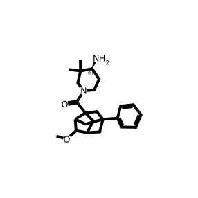 COC1C2CC3(c4ccccc4)CC1C(C(=O)N1CC[C@H](N)C(C)(C)C1)(C2)C3